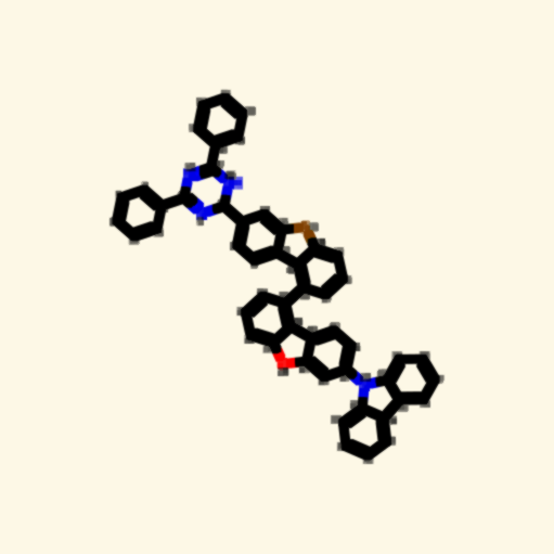 c1ccc(C2=NC(c3ccc4c(c3)sc3cccc(-c5cccc6oc7cc(-n8c9ccccc9c9ccccc98)ccc7c56)c34)NC(c3ccccc3)=N2)cc1